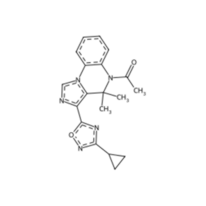 CC(=O)N1c2ccccc2-n2cnc(-c3nc(C4CC4)no3)c2C1(C)C